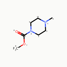 CN1CCN(C(=O)OC(F)(F)F)CC1